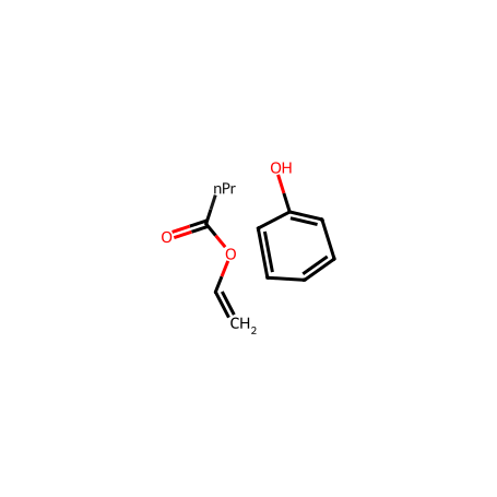 C=COC(=O)CCC.Oc1ccccc1